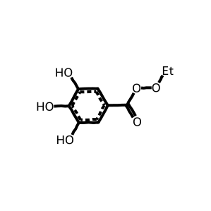 CCOOC(=O)c1cc(O)c(O)c(O)c1